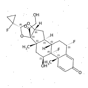 C[C@]12C=CC(=O)C=C1[C@@H](F)C[C@H]1[C@@H]3C[C@H]4O[C@@H](C5(F)CC5)O[C@@]4(C(=O)CO)[C@@]3(C)C[C@H](O)[C@@]12F